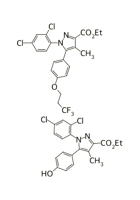 CCOC(=O)c1nn(-c2ccc(Cl)cc2Cl)c(-c2ccc(O)cc2)c1C.CCOC(=O)c1nn(-c2ccc(Cl)cc2Cl)c(-c2ccc(OCCC(F)(F)F)cc2)c1C